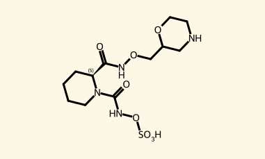 O=C(NOCC1CNCCO1)[C@@H]1CCCCN1C(=O)NOS(=O)(=O)O